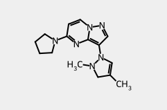 CC1=CN(c2cnn3ccc(N4CCCC4)nc23)N(C)C1